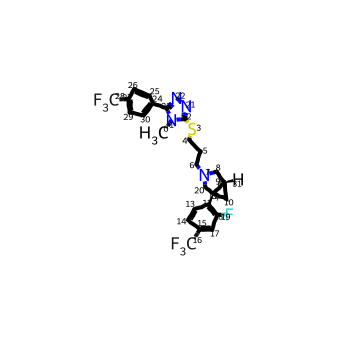 Cn1c(SCCCN2C[C@@H]3C[C@]3(c3ccc(C(F)(F)F)cc3F)C2)nnc1-c1ccc(C(F)(F)F)cc1